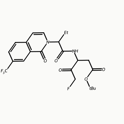 CCC(C(=O)NC(CC(=O)OC(C)(C)C)C(=O)CF)n1ccc2ccc(C(F)(F)F)cc2c1=O